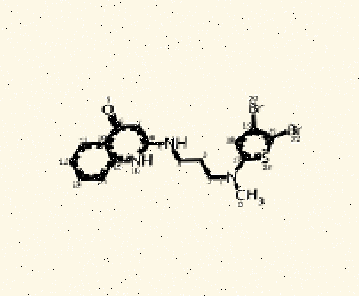 CN(CCCNc1cc(=O)c2ccccc2[nH]1)c1cc(Br)c(Br)s1